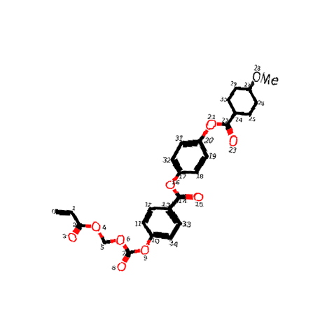 C=CC(=O)OCOC(=O)Oc1ccc(C(=O)Oc2ccc(OC(=O)C3CCC(OC)CC3)cc2)cc1